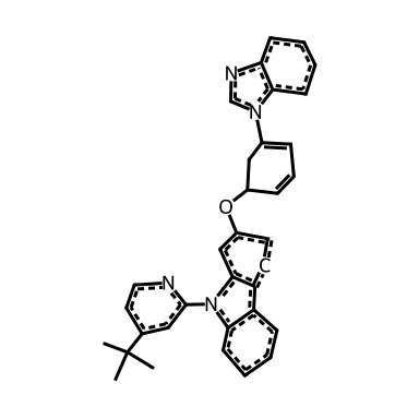 CC(C)(C)c1ccnc(-n2c3ccccc3c3ccc(OC4C=CC=C(n5cnc6ccccc65)C4)cc32)c1